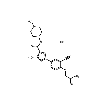 Cc1nc(-c2ccc(OCC(C)C)c(C#N)c2)sc1C(=O)NN1CCC(C)CC1.Cl